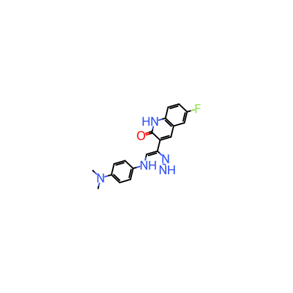 CN(C)c1ccc(N/C=C(\N=N)c2cc3cc(F)ccc3[nH]c2=O)cc1